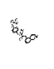 O=C(Cc1cccc2cnccc12)NCc1ccc(SC(F)(F)F)cc1